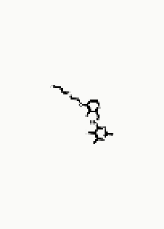 Cc1nc(C)c(Cl)c(NCc2nccc(OCCOCCCl)c2C)n1